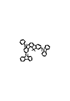 CC1(C)c2cc(-n3c4ccccc4c4ccccc43)ccc2-c2ccc3c(c21)c1cc(-n2c4ccccc4c4ccccc42)ccc1n3-c1ccccc1